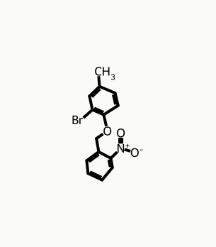 Cc1ccc(OCc2ccccc2[N+](=O)[O-])c(Br)c1